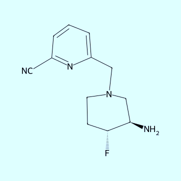 N#Cc1cccc(CN2CC[C@@H](F)[C@H](N)C2)n1